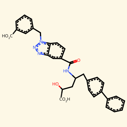 O=C(O)c1cccc(Cn2nnc3cc(C(=O)NC(Cc4ccc(-c5ccccc5)cc4)CC(O)C(=O)O)ccc32)c1